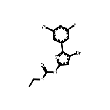 CCOC(=O)Oc1cc(Br)c(-c2cc(F)cc(Cl)c2)s1